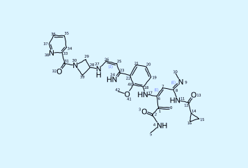 C=C(C(=O)NC)/C(=C\C(=N/C)NC(=O)C1CC1)Nc1cccc(C(=N)/C=C\NC2CN(C(=O)c3ccccn3)C2)c1OC